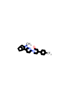 Cn1c2c(c3ccc(-n4ccc(-c5ccc(C(F)(F)F)cc5)cc4=O)nc31)C1CCC(C2)C1